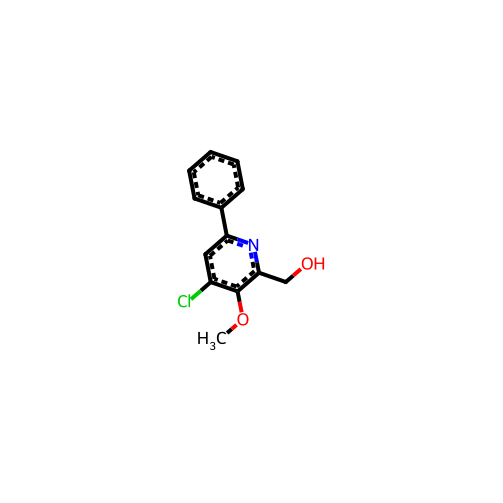 COc1c(Cl)cc(-c2ccccc2)nc1CO